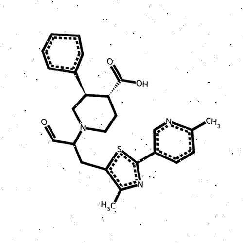 Cc1ccc(-c2nc(C)c(CC(C=O)N3CC[C@@H](C(=O)O)[C@H](c4ccccc4)C3)s2)cn1